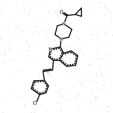 O=C(C1CC1)N1CCN(c2ncc(/C=C/c3ccc(Cl)cc3)c3ccccc23)CC1